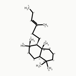 CC/C=C(\C)CC[C@@H]1[C@@](C)(O)CCC2C(C)(C)CCC[C@]21C